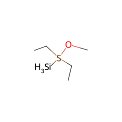 CCS([SiH3])(CC)OC